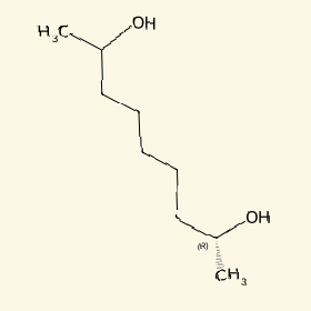 CC(O)CCCCC[C@@H](C)O